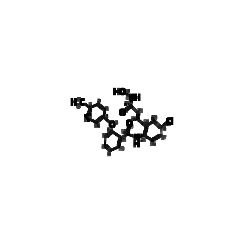 Cc1ccc(Oc2ccccc2C(=O)Nc2ccc(Cl)cc2/C=C/C(=O)NO)cn1